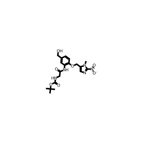 Cn1c(COc2ccc(CO)cc2NC(=O)CNC(=O)OC(C)(C)C)cnc1[N+](=O)[O-]